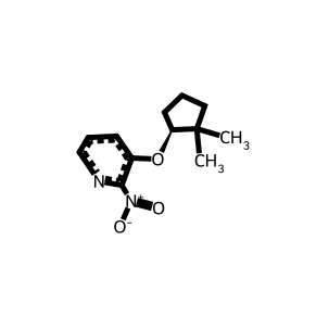 CC1(C)CCC[C@@H]1Oc1cccnc1[N+](=O)[O-]